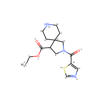 CCOC(=O)C1CN(C(=O)c2cncs2)CC12CCNCC2